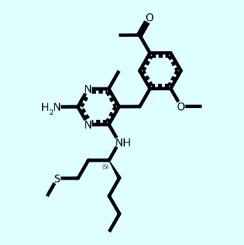 CCCC[C@@H](CCSC)Nc1nc(N)nc(C)c1Cc1cc(C(C)=O)ccc1OC